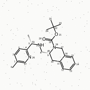 Cc1ccc([C@H](C)NC[C@H]2Cc3ccccc3CN2C(=O)OC(C)(C)C)nc1